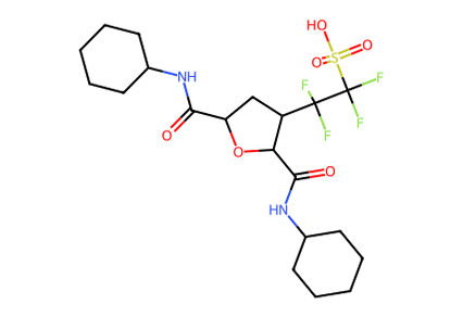 O=C(NC1CCCCC1)C1CC(C(F)(F)C(F)(F)S(=O)(=O)O)C(C(=O)NC2CCCCC2)O1